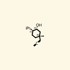 C=C=C[C@]1(C)CC[C@@H](C(C)C)[C@H](O)C1